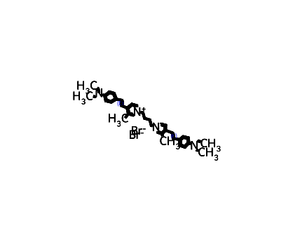 CCN(CC)c1ccc(/C=C/c2cc[n+](CCCC[n+]3ccc(/C=C/c4ccc(N(CC)CC)cc4)c(C)c3)cc2C)cc1.[Br-].[Br-]